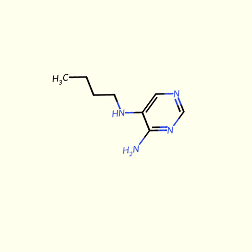 CCCCNc1cncnc1N